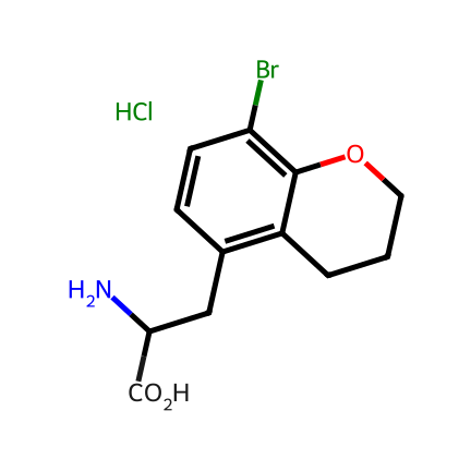 Cl.NC(Cc1ccc(Br)c2c1CCCO2)C(=O)O